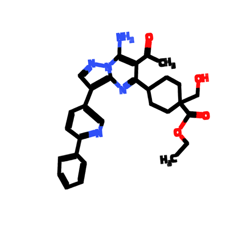 CCOC(=O)C1(CO)CCC(c2nc3c(-c4ccc(-c5ccccc5)nc4)cnn3c(N)c2C(C)=O)CC1